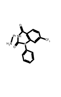 CC(C)N.O=c1[nH]c(=O)n(-c2ccccc2)c2cc(C(F)(F)F)ccc12